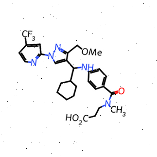 COCc1nn(-c2cc(C(F)(F)F)ccn2)cc1C(Nc1ccc(C(=O)N(C)CCC(=O)O)cc1)C1CCCCC1